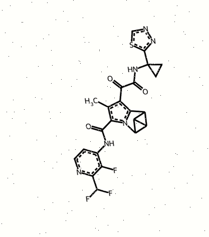 Cc1c(C(=O)C(=O)NC2(c3nncs3)CC2)c2n(c1C(=O)Nc1ccnc(C(F)F)c1F)C1C3C2C31